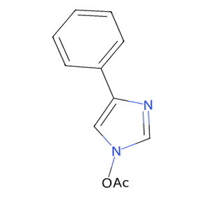 CC(=O)On1cnc(-c2ccccc2)c1